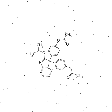 CC(=O)Oc1ccc(C2(c3ccc(OC(C)=O)cc3)C(OC(C)C)=Nc3ccccc32)cc1